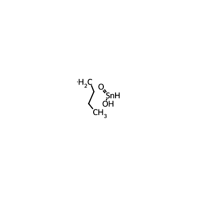 [CH2]CCC.[O]=[SnH][OH]